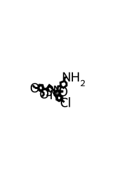 COc1ccc(-c2ccc(-c3nc4ccc(Cl)cc4c(=O)n3CC3CCCC(CN)C3)s2)c(OC)c1